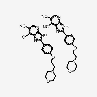 N#Cc1cnc2[nH]c(-c3ccc(OCCN4CCOCC4)cc3)nc2c1C#N.N#Cc1cnc2[nH]c(-c3ccc(OCCN4CCOCC4)cc3)nc2c1Cl